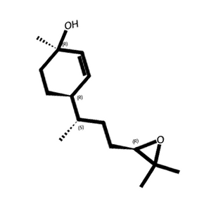 C[C@@H](CC[C@H]1OC1(C)C)[C@@H]1C=C[C@](C)(O)CC1